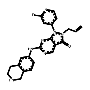 C=CCn1c(=O)c2cnc(Nc3ccc4c(c3)CCNC4)nc2n1-c1ccnc(F)c1